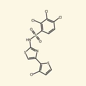 O=S(=O)(Nc1nc(-c2sccc2Cl)cs1)c1ccc(Cl)c(Cl)c1Cl